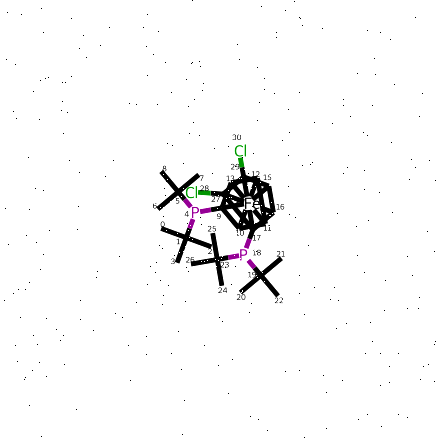 CC(C)(C)P(C(C)(C)C)[C]12[CH]3[CH]4[CH]5[CH]1[Fe]45321678[CH]2[CH]1[C]6(P(C(C)(C)C)C(C)(C)C)[C]7(Cl)[C]28Cl